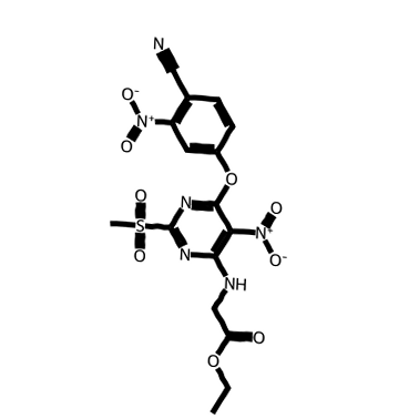 CCOC(=O)CNc1nc(S(C)(=O)=O)nc(Oc2ccc(C#N)c([N+](=O)[O-])c2)c1[N+](=O)[O-]